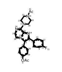 CC(=O)Oc1ccc(-c2c(-c3ccc(F)cc3)nc3c(N4CCN(C(C)=O)CC4)nccn23)cc1